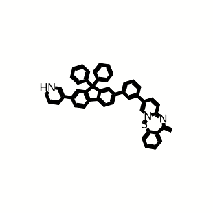 C=C1N=C2C=CC(c3cccc(-c4ccc5c(c4)C(c4ccccc4)(c4ccccc4)c4cc(C6=CNCC=C6)ccc4-5)c3)=CN2Sc2ccccc21